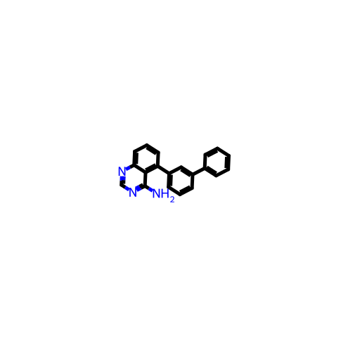 Nc1ncnc2cccc(-c3cccc(-c4ccccc4)c3)c12